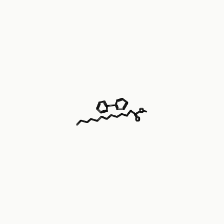 CCCCCCCCCCCCC(=O)OC.c1ccc(-c2ccccc2)cc1